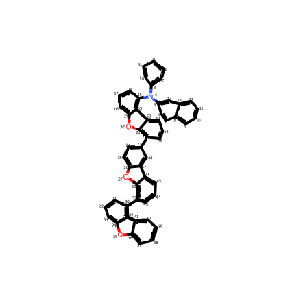 c1ccc(N(c2ccc3ccccc3c2)c2cccc3oc4c(-c5ccc6oc7c(-c8cccc9oc%10ccccc%10c89)cccc7c6c5)cccc4c23)cc1